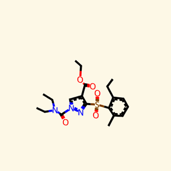 CCOC(=O)c1cn(C(=O)N(CC)CC)nc1S(=O)(=O)c1c(C)cccc1CC